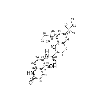 CCC(Oc1ccc(C(C)(C)CC)cc1C(C)(C)CC)C(=O)Nc1ccc2[nH]c(=O)ccc2c1O